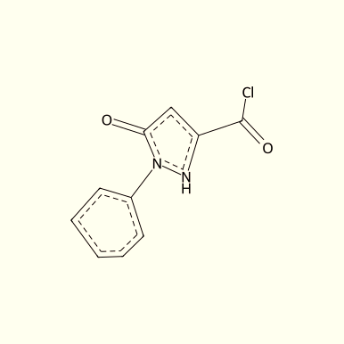 O=C(Cl)c1cc(=O)n(-c2ccccc2)[nH]1